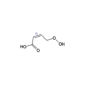 O=C(O)/C=C\COO